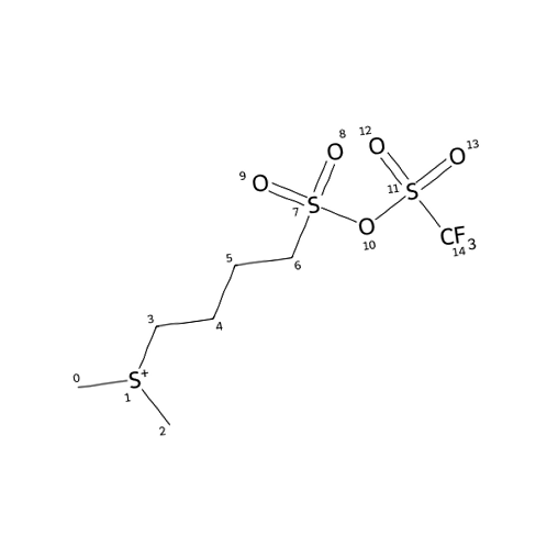 C[S+](C)CCCCS(=O)(=O)OS(=O)(=O)C(F)(F)F